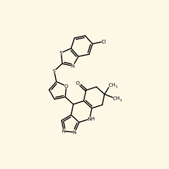 CC1(C)CC(=O)C2=C(C1)NC1=NN=C=C1C2c1ccc(Sc2nc3cc(Cl)ccc3s2)o1